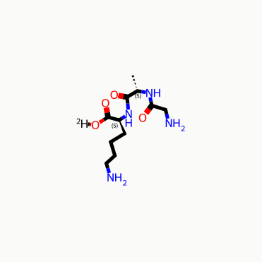 [2H]OC(=O)[C@H](CCCCN)NC(=O)[C@H](C)NC(=O)CN